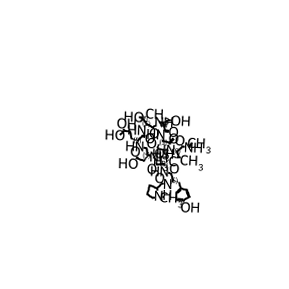 CNC(=O)[C@@H](NC(=O)[C@H](CO)NC(=O)[C@H](CO)NC(=O)[C@@H](NC(=O)[C@H](CCC(O)O)NC(=O)[C@H](CC(=O)O)NC(=O)[C@H](CS)NC(=O)[C@H](Cc1ccc(O)cc1)NC(=O)C1CCCN1C)[C@@H](C)O)C(C)C